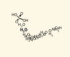 O.O.O.O.O.O.O.O.O.O.O.O.O=S(=O)(O)O.[AlH3].[CsH]